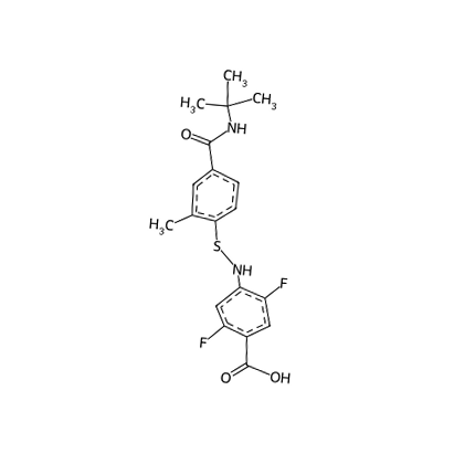 Cc1cc(C(=O)NC(C)(C)C)ccc1SNc1cc(F)c(C(=O)O)cc1F